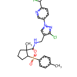 Cc1ccc(S(=O)(=O)C2CCCC2(C)C(=O)NCc2cn(-c3ccc(C(C)F)nc3)nc2Cl)cc1